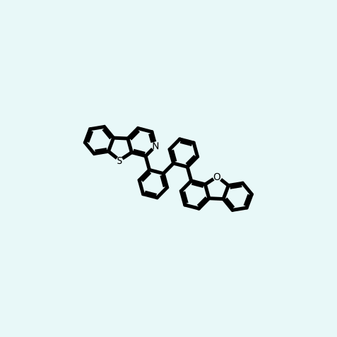 c1ccc(-c2cccc3c2oc2ccccc23)c(-c2ccccc2-c2nccc3c2sc2ccccc23)c1